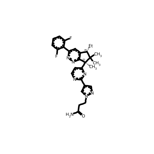 CC[C@H]1c2cc(-c3c(F)cccc3F)nnc2[C@](C)(c2ccnc(-c3cnn(CCC(N)=O)c3)n2)C1(C)C